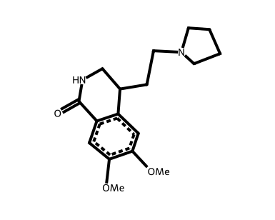 COc1cc2c(cc1OC)C(CCN1CCCC1)CNC2=O